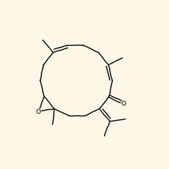 CC1=CC(=O)C(=C(C)C)CCC2(C)OC2CCC(C)=CCC1